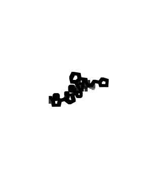 C[C@@H](CC1CCCC1)NCc1ccccc1NS(=O)(=O)c1ccc(-c2ccno2)s1